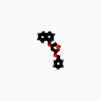 O=CC(CC(=O)OCc1ccccc1)Oc1cccc2ccccc12